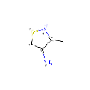 CC1NSCC1N